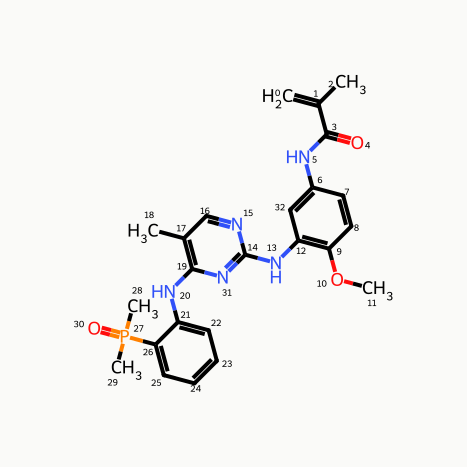 C=C(C)C(=O)Nc1ccc(OC)c(Nc2ncc(C)c(Nc3ccccc3P(C)(C)=O)n2)c1